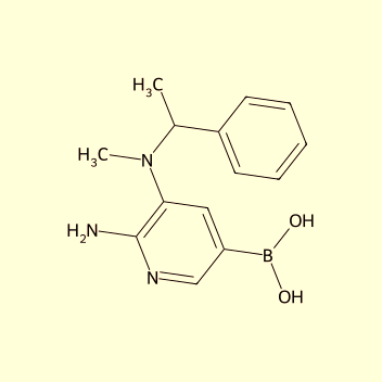 CC(c1ccccc1)N(C)c1cc(B(O)O)cnc1N